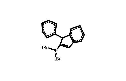 CC(C)(C)P(C1=Cc2ccccc2C1c1ccccc1)C(C)(C)C